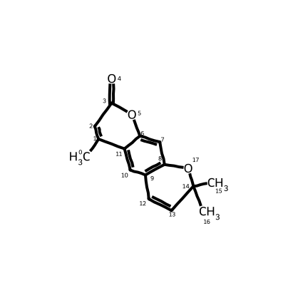 Cc1cc(=O)oc2cc3c(cc12)C=CC(C)(C)O3